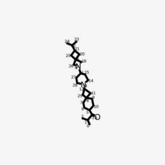 CC(C)C(=O)C1CCC2(CC1)CC(N1CCC(N3CC4(CC(C(C)C)C4)C3)CC1)C2